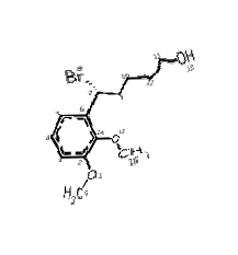 COc1cccc([C@H](Br)CCCCO)c1OC